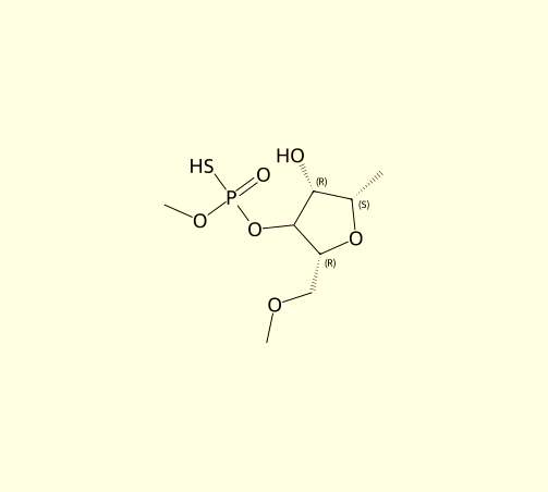 COC[C@H]1O[C@@H](C)[C@@H](O)C1OP(=O)(S)OC